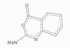 CNc1nc2ccccc2c(=O)o1